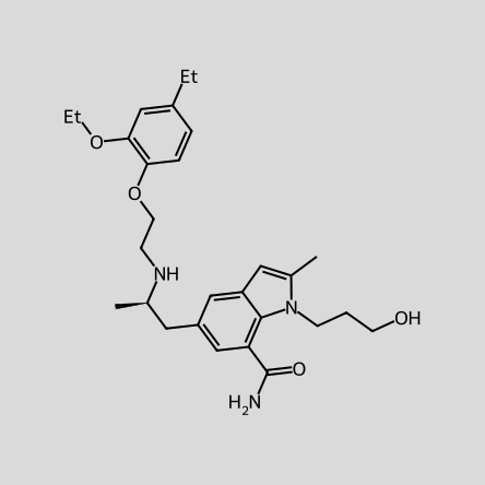 CCOc1cc(CC)ccc1OCCN[C@H](C)Cc1cc(C(N)=O)c2c(c1)cc(C)n2CCCO